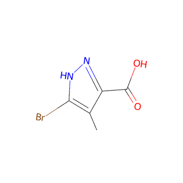 Cc1c(C(=O)O)n[nH]c1Br